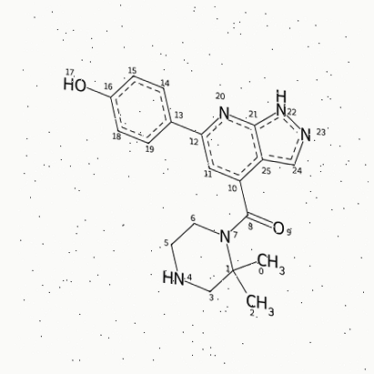 CC1(C)CNCCN1C(=O)c1cc(-c2ccc(O)cc2)nc2[nH]ncc12